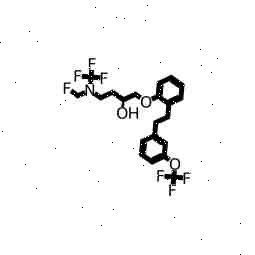 O[C@@H](CCN(CF)C(F)(F)F)COc1ccccc1CCc1cccc(OC(F)(F)F)c1